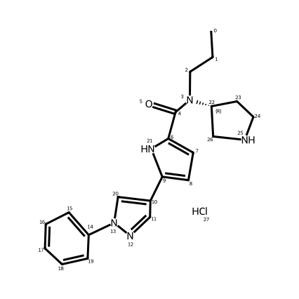 CCCN(C(=O)c1ccc(-c2cnn(-c3ccccc3)c2)[nH]1)[C@@H]1CCNC1.Cl